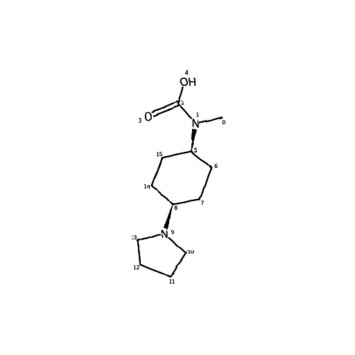 CN(C(=O)O)[C@H]1CC[C@@H](N2CCCC2)CC1